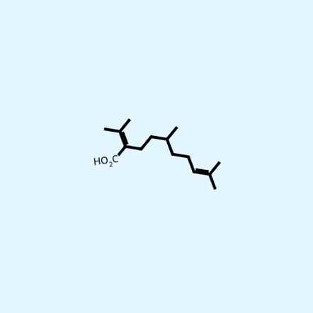 CC(C)=CCCC(C)CCC(C(=O)O)=C(C)C